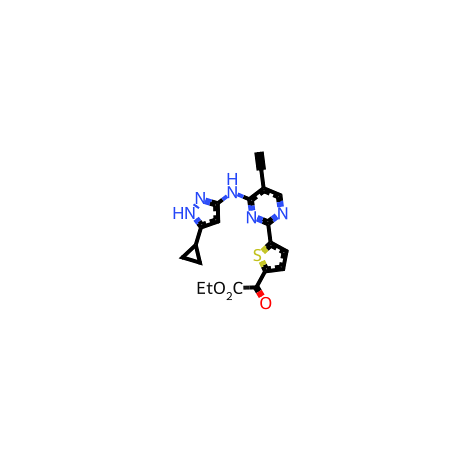 C#Cc1cnc(-c2ccc(C(=O)C(=O)OCC)s2)nc1Nc1cc(C2CC2)[nH]n1